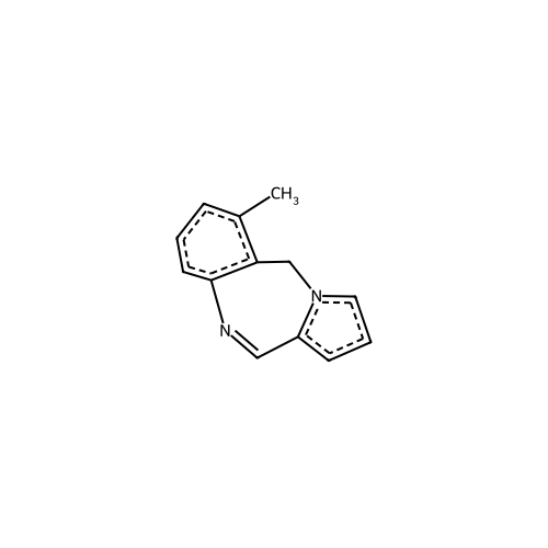 Cc1cccc2c1Cn1cccc1C=N2